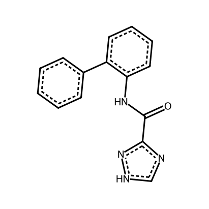 O=C(Nc1ccccc1-c1ccccc1)c1nc[nH]n1